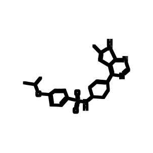 Cc1cc2c(C3=CCC(NS(=O)(=O)c4ccc(OC(C)C)cc4)CC3)ncnc2[nH]1